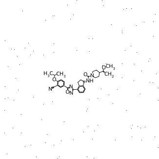 C=C(OC)C1CCN(C(=O)N[C@H]2CCc3c(-c4noc(-c5ccc(OC(C)C)c(C#N)c5)n4)cccc32)CC1